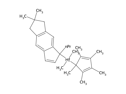 CCC[C]1([Hf]([CH3])([CH3])[C]2(C)C(C)=C(C)C(C)=C2C)C=Cc2cc3c(cc21)CC(C)(C)C3